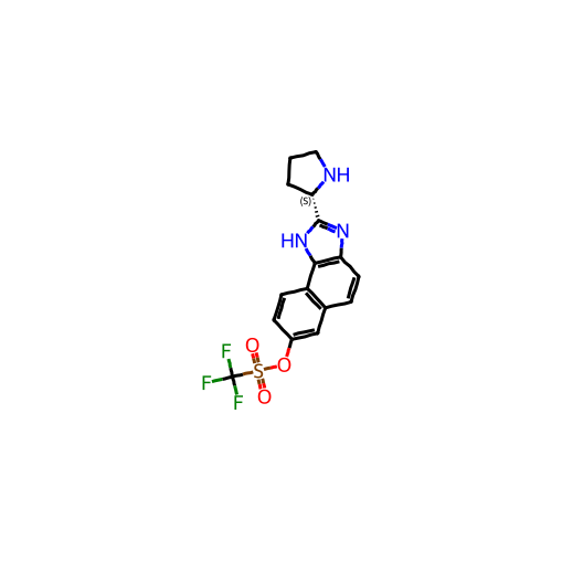 O=S(=O)(Oc1ccc2c(ccc3nc([C@@H]4CCCN4)[nH]c32)c1)C(F)(F)F